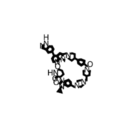 Cn1c(CN2CCC(c3ccc(C(=O)N4CCC(CN5CCN(Cc6ccc7c(c6)n(C6CC6)c(=O)n7C6CCC(=O)NC6=O)CC5)CC4)cc3)CC2)cc2c(-c3ccc4[nH]ncc4c3)ccnc21